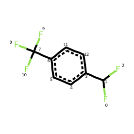 FC(F)c1c[c]c(C(F)(F)F)cc1